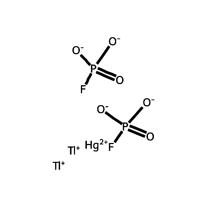 O=P([O-])([O-])F.O=P([O-])([O-])F.[Hg+2].[Tl+].[Tl+]